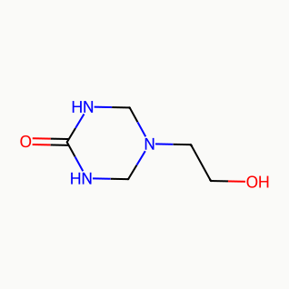 O=C1NCN(CCO)CN1